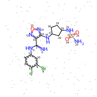 N=C(Nc1ccc(F)c(Br)c1)c1nonc1NC1CCC(NS(N)(=O)=O)C1